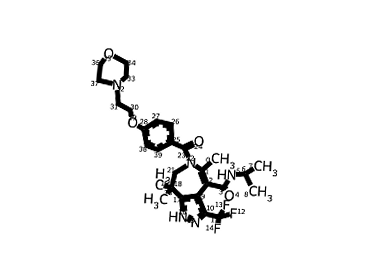 CC1=C(C(=O)NC(C)C)c2c(C(F)(F)F)n[nH]c2C(C)(C)CN1C(=O)c1ccc(OCCN2CCOCC2)cc1